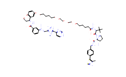 Cc1ncsc1-c1ccc(CNC(=O)[C@@H]2CCCN2C(=O)C(NC(=O)CCCCCOCCOCCOCCCCCCOc2ccc3c(c2)C(NC(=O)c2cccc(NCc4nnc(-c5ccncn5)n4C)c2)CCO3)C(C)(C)C)cc1